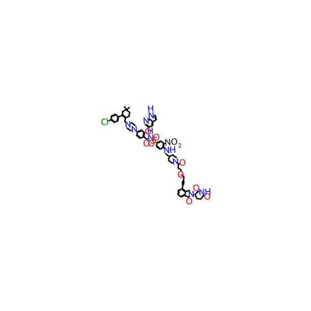 CC1(C)CCC(CN2CCN(c3ccc(C(=O)NS(=O)(=O)c4ccc(NCC5CCN(C(=O)CCOCC#Cc6cccc7c6CN(C6CCC(=O)NC6=O)C7=O)CC5)c([N+](=O)[O-])c4)c(Oc4cnc5[nH]ccc5c4)c3)CC2)=C(c2ccc(Cl)cc2)C1